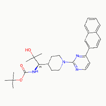 CC(C)(C)OC(=O)N[C@H](C1CCN(c2nccc(-c3ccc4ccccc4c3)n2)CC1)C(C)(C)O